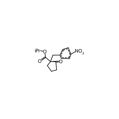 CC(C)OC(=O)C1(Cc2ccc([N+](=O)[O-])cc2)CCCC1=O